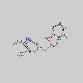 CC(C)c1ncc(Cc2cc3ccccc3o2)cc1C(F)(F)F